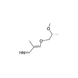 CO[C@H](C)CO/C=C(\C)C=N